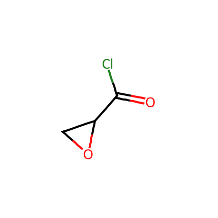 O=C(Cl)C1CO1